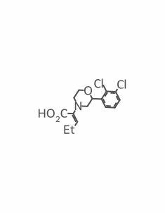 CCC=C(C(=O)O)N1CCOC(c2cccc(Cl)c2Cl)C1